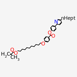 C=C(C)C(=O)OCCCCCCCCCCCOc1ccc(C(=O)Oc2ccc(-c3ccc(CCCCCCC)cn3)cc2)cc1